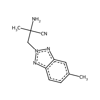 Cc1ccc2nn(CC(C)(N)C#N)nc2c1